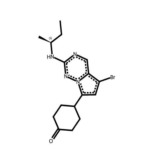 CC[C@H](C)Nc1ncc2c(Br)cc(C3CCC(=O)CC3)n2n1